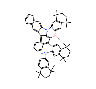 CB1c2cc3c(cc2-n2c4cc5ccccc5cc4c4c5ccccc5c(-c5cc6c(cc5Nc5ccc7c(c5)C(C)(C)CCC7(C)C)C(C)(C)CCC6(C)C)c1c42)C(C)(C)CCC3(C)C